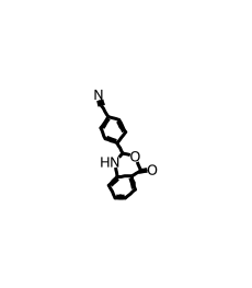 N#Cc1ccc(C2Nc3ccccc3C(=O)O2)cc1